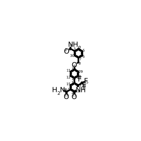 NC(=O)c1cccc(COc2ccc(-c3cc(C(N)=O)c(=O)[nH]c3C(F)(F)F)cc2)c1